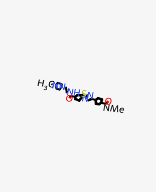 CNC(=O)c1ccc(-c2cn3c(n2)sc2cc(C(=O)NCCN4CCN(C)CC4)ccc23)cc1